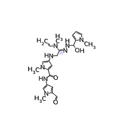 C=CN(C)/C(CNc1cc(C(=O)Nc2cc(C=O)n(C)c2)n(C)c1)=N\NC(O)c1cccn1C